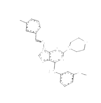 COc1cccc(Nc2nc(N3CCOCC3)nc3c2ncn3/N=C/c2cccc(C)c2)c1